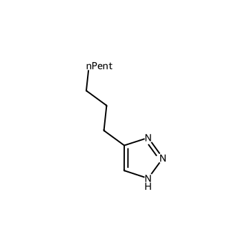 CCCCCCCCc1c[nH]nn1